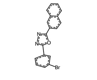 Brc1cccc(-c2nnc(-c3ccc4ccccc4c3)o2)c1